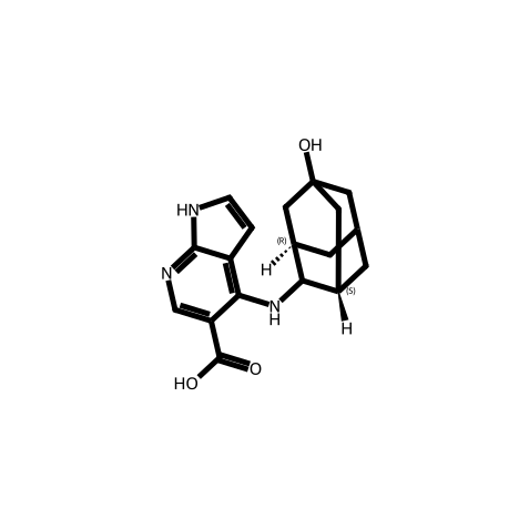 O=C(O)c1cnc2[nH]ccc2c1NC1[C@@H]2CC3C[C@H]1CC(O)(C3)C2